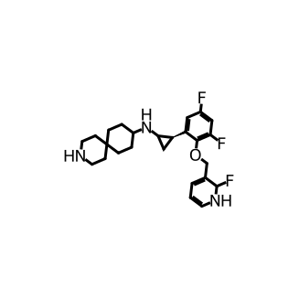 Fc1cc(F)c(OCC2=CC=CNC2F)c([C@H]2CC2NC2CCC3(CCNCC3)CC2)c1